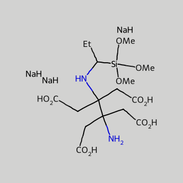 CCC(NC(CC(=O)O)(CC(=O)O)C(N)(CC(=O)O)CC(=O)O)[Si](OC)(OC)OC.[NaH].[NaH].[NaH]